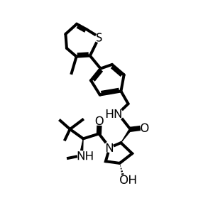 CN[C@H](C(=O)N1C[C@@H](O)C[C@@H]1C(=O)NCc1ccc(C2=C(C)CCC=CS2)cc1)C(C)(C)C